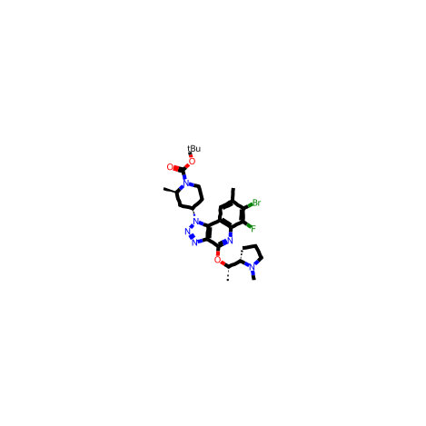 Cc1cc2c(nc(O[C@@H](C)[C@@H]3CCCN3C)c3nnn([C@H]4CCN(C(=O)OC(C)(C)C)[C@H](C)C4)c32)c(F)c1Br